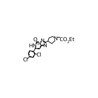 CCOC(=O)CN1CCC(c2nc3cc(-c4ccc(Cl)cc4Cl)[nH]c(=O)n3n2)CC1